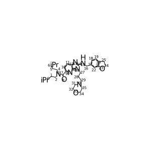 CC(C)CCN(CCC(C)C)C(=O)c1ccc2nc(NCc3ccc4c(c3)OCC4)n(CCCN3CCOCC3)c2n1